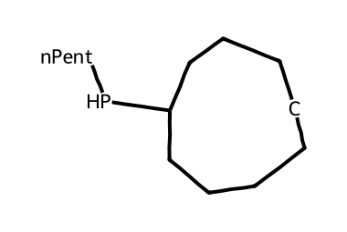 CCCCCPC1CCCCCCCC1